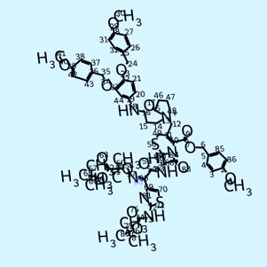 COc1ccc(COC(=O)C2=C(C[N+]3(CCC(=O)Nc4ccc(OCc5ccc(OC)cc5)c(OCc5ccc(OC)cc5)c4)CCCC3)CS[C@@H]3[C@H](NC(=O)/C(=N\OC(C)(C)C(=O)OC(C)(C)C)c4csc(NC(=O)OC(C)(C)C)n4)C(=O)N23)cc1